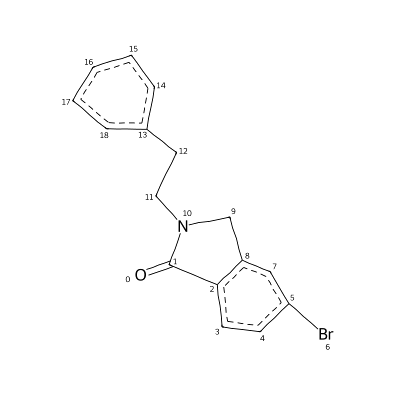 O=C1c2ccc(Br)cc2CN1CCc1ccccc1